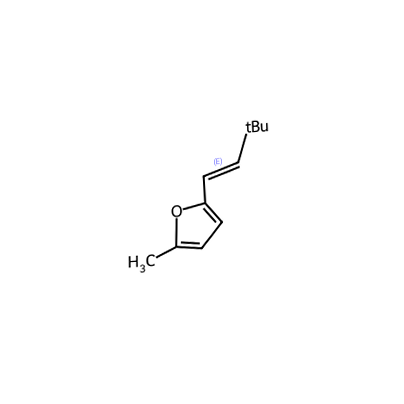 Cc1ccc(/C=C/C(C)(C)C)o1